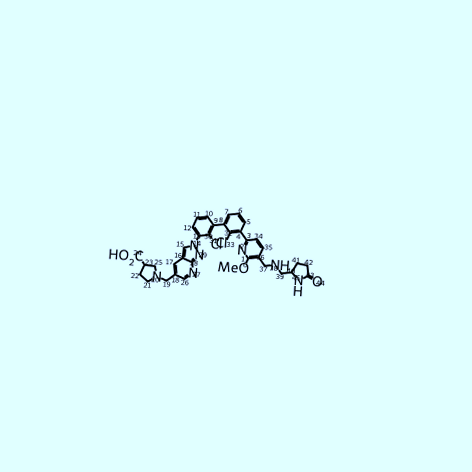 COc1nc(-c2cccc(-c3cccc(-n4cc5cc(CN6CCC(C(=O)O)C6)cnc5n4)c3Cl)c2Cl)ccc1CNCC1CCC(=O)N1